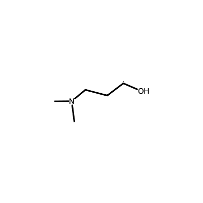 CN(C)CC[CH]O